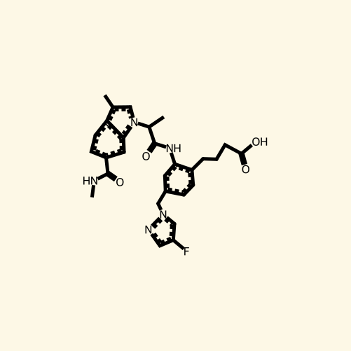 CNC(=O)c1ccc2c(C)cn(C(C)C(=O)Nc3cc(Cn4cc(F)cn4)ccc3CCCC(=O)O)c2c1